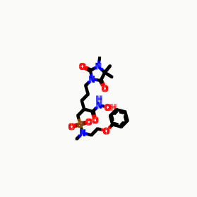 CN1C(=O)N(CCCC(CS(=O)(=O)N(C)CCOc2ccccc2)C(=O)NO)C(=O)C1(C)C